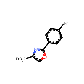 CCOC(=O)c1coc(-c2ccc(C(C)C)cc2)n1